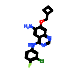 Nc1cc2c(Nc3ccc(F)c(Cl)c3)ncnc2cc1OCC1CCC1